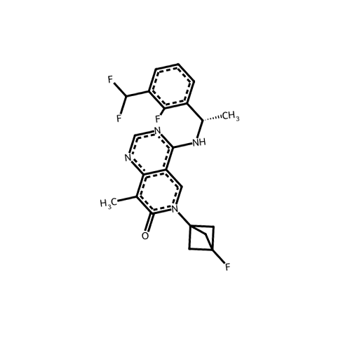 Cc1c(=O)n(C23CC(F)(C2)C3)cc2c(N[C@@H](C)c3cccc(C(F)F)c3F)ncnc12